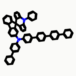 c1ccc(-c2ccc(-c3ccc(-c4ccc(N(c5ccc(-c6ccccc6)cc5)c5ccc6c(c5)C5(c7ccccc7-6)c6ccccc6N(c6ccccc6)c6ccccc65)cc4)cc3)cc2)cc1